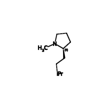 CC(C)CC[C@@H]1CCCN1C